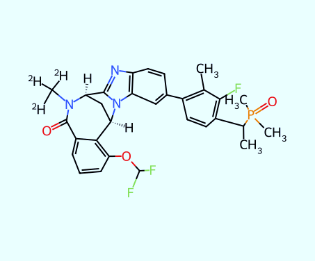 [2H]C([2H])([2H])N1C(=O)c2cccc(OC(F)F)c2[C@H]2C[C@@H]1c1nc3ccc(-c4ccc(C(C)P(C)(C)=O)c(F)c4C)cc3n12